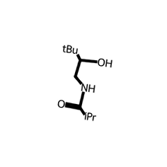 CC(C)C(=O)NCC(O)C(C)(C)C